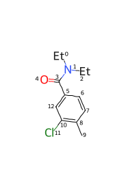 CCN(CC)C(=O)c1ccc(C)c(Cl)c1